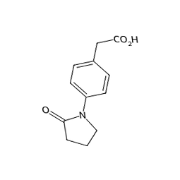 O=C(O)Cc1ccc(N2CCCC2=O)cc1